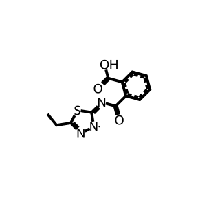 CCC1=N[N]C(=NC(=O)c2ccccc2C(=O)O)S1